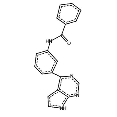 O=C(Nc1cccc(-c2ncnc3[nH]ccc23)c1)c1ccccc1